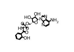 Nc1ccnc2c1ncn2[C@@H]1O[C@H](COS(=O)(=O)NC(=O)c2ccccc2O)[C@@H](O)[C@H]1O